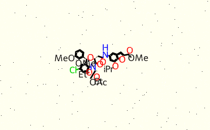 CCOC(COC(C)=O)(CN1C(=O)[C@@H](CC(=O)Nc2cc(OC(C)C)c3oc(C(=O)OC)cc3c2)O[C@H](c2cccc(OC)c2OC)c2cc(Cl)ccc21)OCC